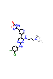 CN(C)CCCNc1nc(Nc2ccc(F)c(Cl)c2)ncc1-c1cncc(-c2noc(=O)[nH]2)c1